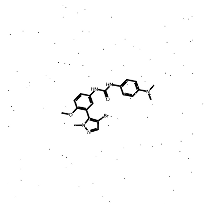 COc1ccc(NC(=O)Nc2ccc(N(C)C)cc2)cc1-c1c(Br)cnn1C